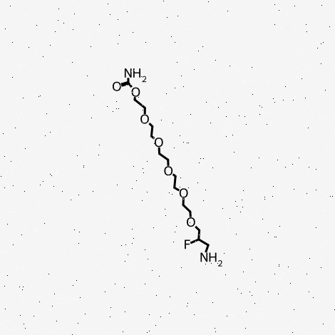 NCC(F)COCCOCCOCCOCCOCCOC(N)=O